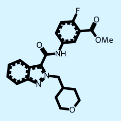 COC(=O)c1cc(NC(=O)c2c3ccccc3nn2CC2CCOCC2)ccc1F